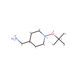 CC(C)(C)ON1CCC(CN)CC1